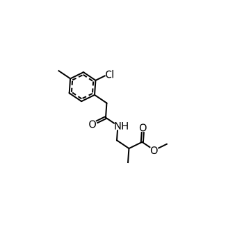 COC(=O)C(C)CNC(=O)Cc1ccc(C)cc1Cl